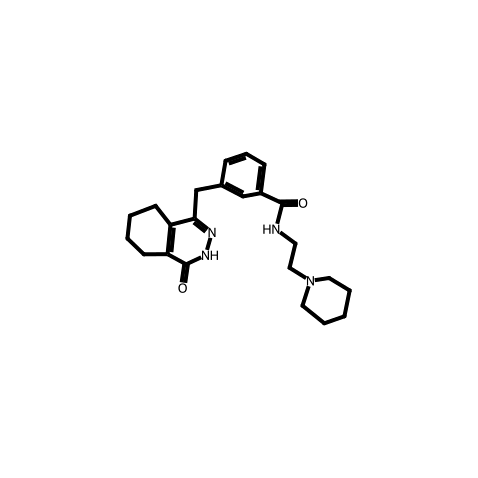 O=C(NCCN1CCCCC1)c1cccc(Cc2n[nH]c(=O)c3c2CCCC3)c1